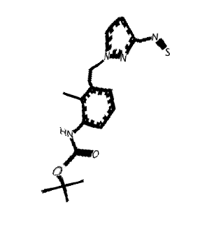 Cc1c(Cn2ccc(N=S)n2)cccc1NC(=O)OC(C)(C)C